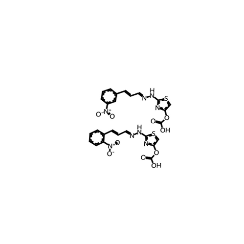 O=C(O)Oc1csc(NN=CC=Cc2cccc([N+](=O)[O-])c2)n1.O=C(O)Oc1csc(NN=CC=Cc2ccccc2[N+](=O)[O-])n1